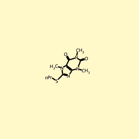 CCCSc1nc2c(c(=O)n(C)c(=O)n2C)n1C